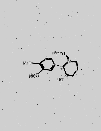 CCCCCN1CCC[C@H](O)[C@@H]1c1ccc(OC)c(OC)c1